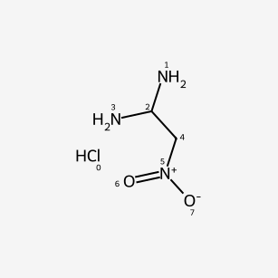 Cl.NC(N)C[N+](=O)[O-]